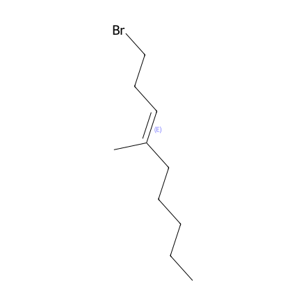 CCCCC/C(C)=C/CCBr